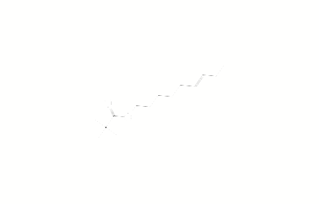 CCC=CCCCCCOC(=O)C(C)(C)C